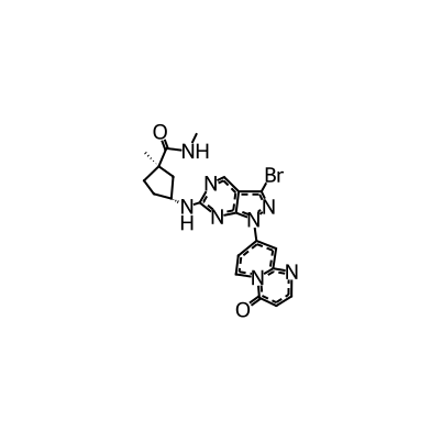 CNC(=O)[C@]1(C)CC[C@@H](Nc2ncc3c(Br)nn(-c4ccn5c(=O)ccnc5c4)c3n2)C1